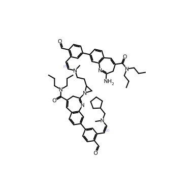 CCCN(CCC)C(=O)C1=Cc2ccc(-c3ccc(C=O)c(/C=C\N(C)CCC4CN4C4=Nc5cc(-c6ccc(C=O)c(/C=C\N(C)CC7CCCC7)c6)ccc5C=C(C(=O)N(CCC)CCC)C4)c3)cc2N=C(N)C1